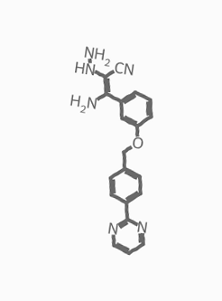 N#C/C(NN)=C(/N)c1cccc(OCc2ccc(-c3ncccn3)cc2)c1